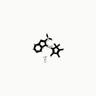 CC1=C(C)C(C)(C)[C]([Hf+2][CH]2C(P(C)C)=Cc3ccccc32)=C1C.[F-].[F-]